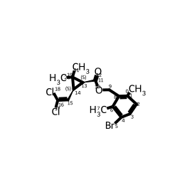 Cc1ccc(Br)c(C)c1COC(=O)[C@H]1[C@@H](C=C(Cl)Cl)C1(C)C